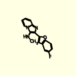 CNc1c(-c2cc3cc(F)ccc3o2)nc2ccccn12